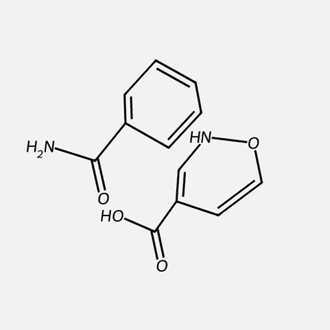 NC(=O)c1ccccc1.O=C(O)C1=CNOC=C1